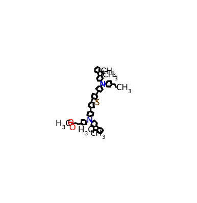 CCCc1ccc(N(c2ccc(-c3ccc4c(c3)sc3cc(-c5ccc(N(c6ccc(CCC(=O)OC)cc6)c6ccc7c(c6)C(C)(C)c6ccccc6-7)cc5)ccc34)cc2)c2ccc3c(c2)C(C)(C)c2ccccc2-3)cc1